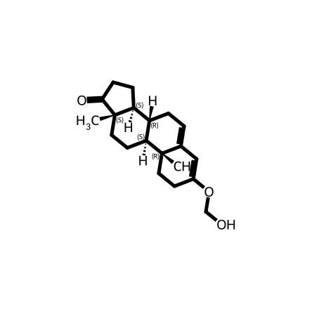 C[C@]12CCC(OCO)=CC1=CC[C@@H]1[C@@H]2CC[C@]2(C)C(=O)CC[C@@H]12